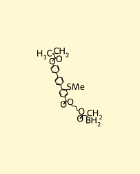 BC(=C)C(=O)OCCCOC(=O)c1ccc(-c2ccc(-c3ccc(OC(=O)C(=C)C)cc3)cc2)c(SC)c1